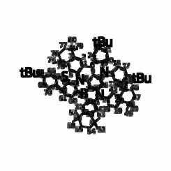 Cc1cc2c(cc1N1c3cc(N(c4ccc(C(C)(C)C)cc4)c4ccc(C(C)(C)C)cc4)cc4c3B(c3cc5c(cc3N4c3ccc4c(c3)C(C)(C)CCC4(C)C)C(C)(C)CCC5(C)C)c3ccc4c(sc5cc(C(C)(C)C)ccc54)c31)C(C)(C)CCC2(C)C